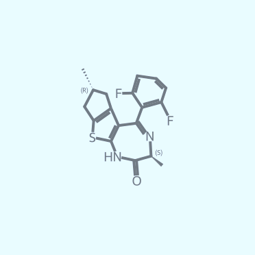 C[C@H]1Cc2sc3c(c2C1)C(c1c(F)cccc1F)=N[C@@H](C)C(=O)N3